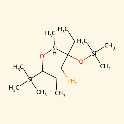 CCC(O[SiH](C)C(CC)(CP)O[Si](C)(C)C)[Si](C)(C)C